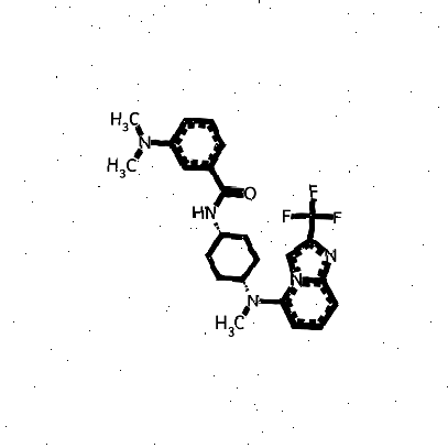 CN(C)c1cccc(C(=O)N[C@H]2CC[C@@H](N(C)c3cccc4nc(C(F)(F)F)cn34)CC2)c1